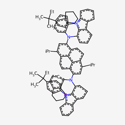 CCC(C)(C)c1ccc(-n2c3ccccc3c3cccc(N(c4cccc5c4CCCC5)c4cc(C(C)C)c5ccc6c(N(c7cccc8c7CCCC8)c7cccc8c9ccccc9n(-c9ccc(C(C)(C)CC)cc9)c78)cc(C(C)C)c7ccc4c5c76)c32)cc1